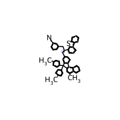 Cc1ccc(C2(c3ccc(C)cc3)c3cc(/C=C(/Cc4cccc(C#N)c4)c4cccc5c4sc4ccccc45)ccc3-c3c2cc(C)c2ccccc32)cc1